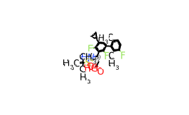 Cc1ccc(F)c(C)c1-c1cc(C2CC2)c(F)c([C@H](CC(=O)O)N[S+]([O-])C(C)(C)C)c1F